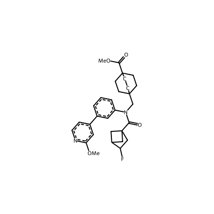 COC(=O)C12CCC(CN(C(=O)C34CC(F)C(C3)C4)c3cccc(-c4ccnc(OC)c4)c3)(CC1)CC2